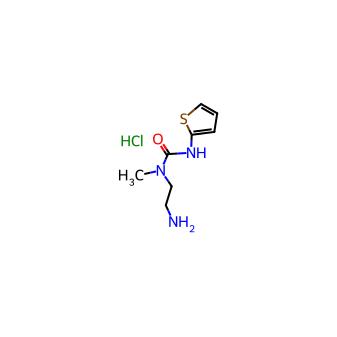 CN(CCN)C(=O)Nc1cccs1.Cl